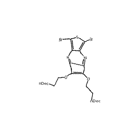 CCCCCCCCCCCCOC1=C(OCCCCCCCCCCCC)c2nc3c(Br)sc(Br)c3nc21